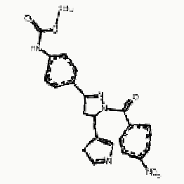 CC(C)(C)OC(=O)Nc1ccc(C2=NN(C(=O)c3ccc([N+](=O)[O-])cc3)C(C3=CN=CC3)C2)cc1